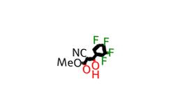 COC(=O)/C(C#N)=C(\O)c1cc(F)c(F)c(F)c1F